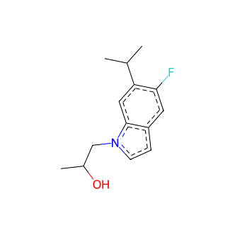 CC(O)Cn1ccc2cc(F)c(C(C)C)cc21